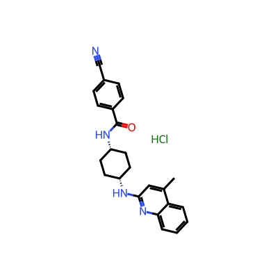 Cc1cc(N[C@H]2CC[C@@H](NC(=O)c3ccc(C#N)cc3)CC2)nc2ccccc12.Cl